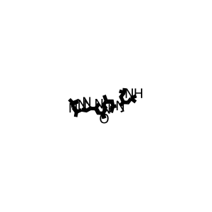 Cc1cn2nc(-c3cc(=O)n4cc(N(C)C5CC(C)(C)NC(C)(C)C5)cc(C)c4n3)cc2c(C)n1